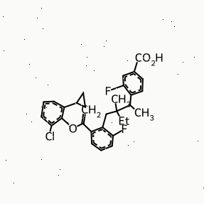 C=C(Oc1c(Cl)cccc1C1CC1)c1cccc(F)c1CC(C)(CC)C(C)c1ccc(C(=O)O)cc1F